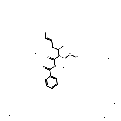 C/C=C/C[C@@H](C)[C@H](COCC)C(=O)OC(=O)c1ccccc1